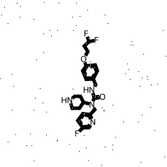 O=C(NCc1ccc(OCCC(F)F)cc1)N(Cc1ccc(F)cn1)C1CCNCC1